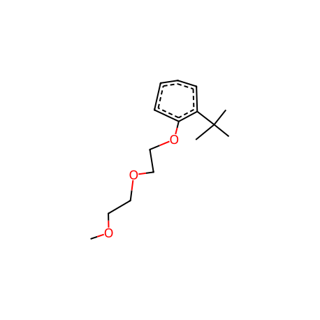 COCCOCCOc1ccccc1C(C)(C)C